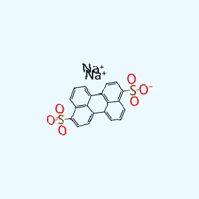 O=S(=O)([O-])c1ccc2c3cccc4c(S(=O)(=O)[O-])ccc(c5cccc1c52)c43.[Na+].[Na+]